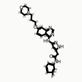 O=C(Cc1cc(Nc2ncnc3cc(OCCCN4CCOCC4)ccc23)n[nH]1)Nc1cccc(F)c1